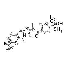 CC(C)(O)c1ccc(C(=O)Nc2cn(Cc3cccc(C(F)(F)F)c3)cn2)cn1